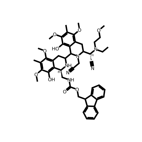 CCN(CCOC)[C@H](C#N)C1Cc2c(OC)c(C)c(OC)c(O)c2C(C2Cc3c(OC)c(C)c(OC)c(O)c3[C@H](CNC(=O)OCC3c4ccccc4-c4ccccc43)N2)N1CC#N